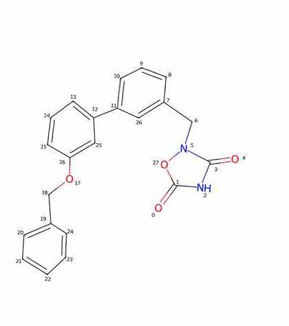 O=c1[nH]c(=O)n(Cc2cccc(-c3cccc(OCc4ccccc4)c3)c2)o1